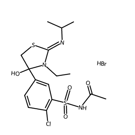 Br.CCN1C(=NC(C)C)SCC1(O)c1ccc(Cl)c(S(=O)(=O)NC(C)=O)c1